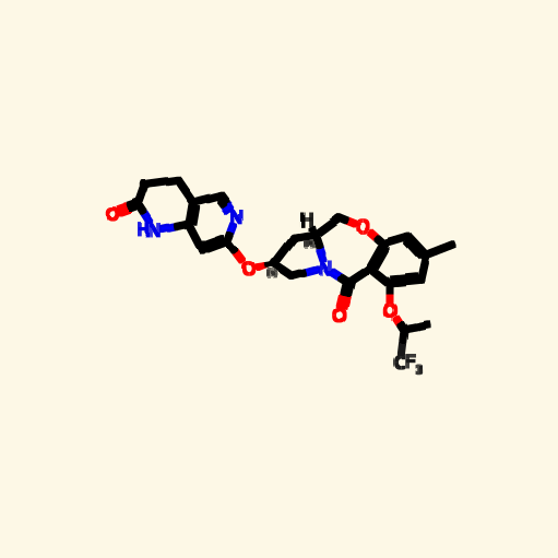 Cc1cc2c(c(OC(C)C(F)(F)F)c1)C(=O)N1C[C@@H](Oc3cc4c(cn3)CCC(=O)N4)C[C@@H]1CO2